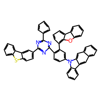 c1ccc(-c2nc(-c3ccc4sc5ccccc5c4c3)nc(-c3ccc(-n4c5ccccc5c5cc6ccccc6cc54)cc3-c3cccc4c3oc3ccccc34)n2)cc1